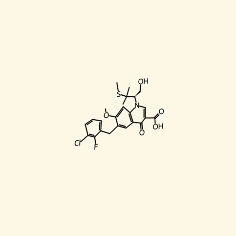 COc1cc2c(cc1Cc1cccc(Cl)c1F)c(=O)c(C(=O)O)cn2[C@H](CO)C(C)(C)SC